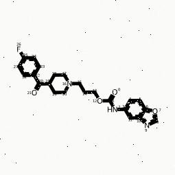 O=C(Nc1ccc2ocnc2c1)OCCCN1CCC(C(=O)c2ccc(F)cc2)CC1